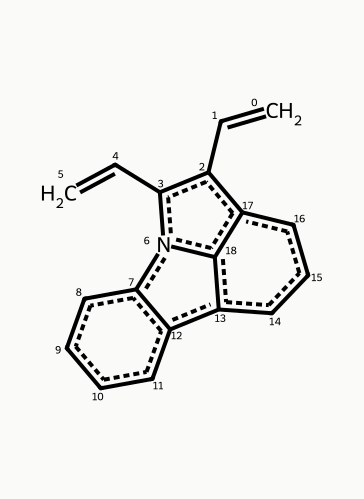 C=Cc1c(C=C)n2c3ccccc3c3cccc1c32